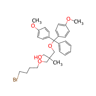 COc1ccc(C(OCC(C)(CO)COCCCCBr)(c2ccccc2)c2ccc(OC)cc2)cc1